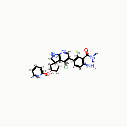 CN(C)C(=O)c1c(N)ccc(-c2cnc3c(c2Cl)[C@]2(CC[C@H](Oc4ccccn4)C2)CN3)c1F